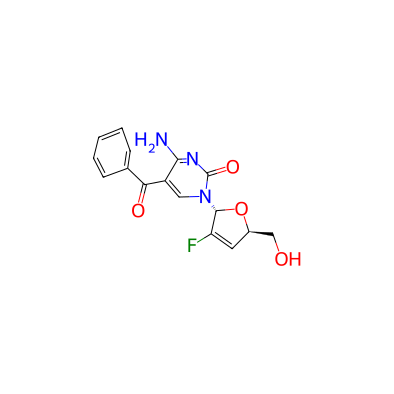 Nc1nc(=O)n([C@@H]2O[C@@H](CO)C=C2F)cc1C(=O)c1ccccc1